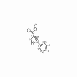 COC(=O)c1cnn(-c2cnccn2)n1